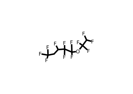 FC(F)C(F)(F)OC(F)(F)C(F)(F)C(F)CC(F)(F)F